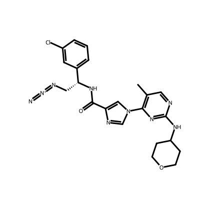 Cc1cnc(NC2CCOCC2)nc1-n1cnc(C(=O)N[C@H](CN=[N+]=[N-])c2cccc(Cl)c2)c1